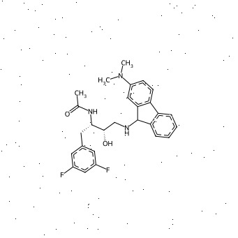 CC(=O)N[C@@H](Cc1cc(F)cc(F)c1)[C@@H](O)CNC1c2ccccc2-c2ccc(N(C)C)cc21